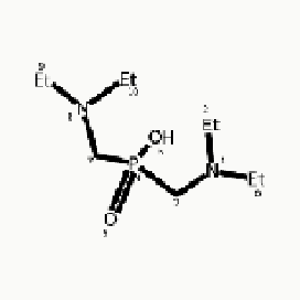 CCN(CC)CP(=O)(O)CN(CC)CC